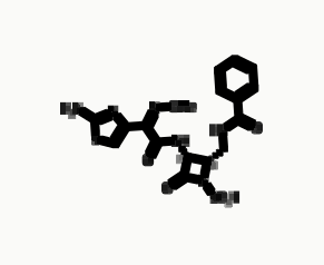 CON=C(C(=O)N[C@H]1C(=O)N(S(=O)(=O)O)[C@H]1CNC(=O)c1ccccc1)c1csc(N)n1